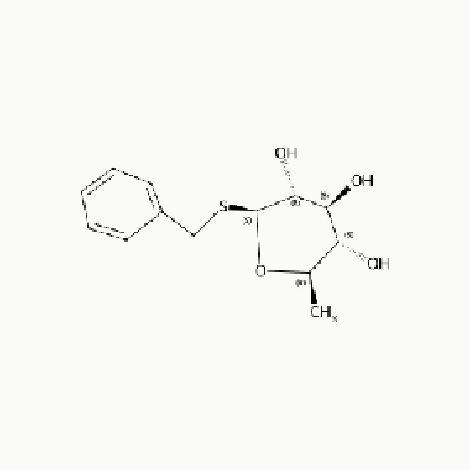 C[C@H]1O[C@@H](SCc2ccccc2)[C@H](O)[C@@H](O)[C@@H]1O